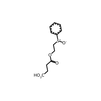 O=C(O)CCC(=O)OCC[S+]([O-])c1ccccc1